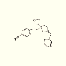 N#Cc1ccc(CC[C@]2(C3COC3)CCN(Cc3cccnc3)C2)cc1